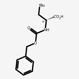 CC(C)(C)C[C@@H](NC(=O)OCc1ccccc1)C(=O)O